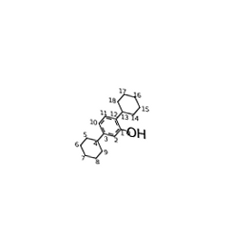 Oc1cc(C2CCCCC2)ccc1C1CCCCC1